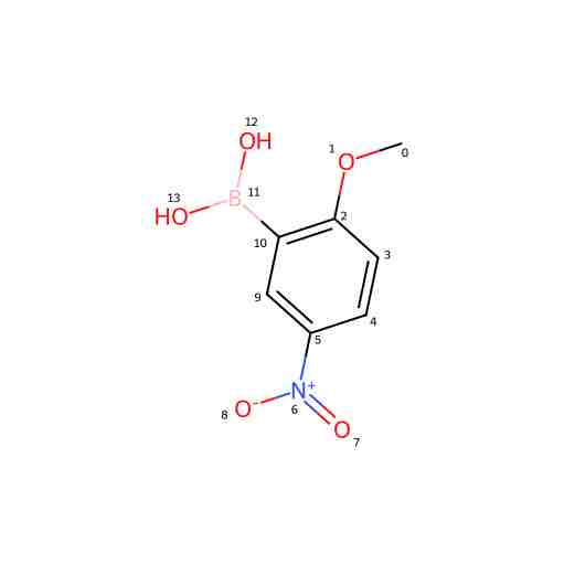 COc1ccc([N+](=O)[O-])cc1B(O)O